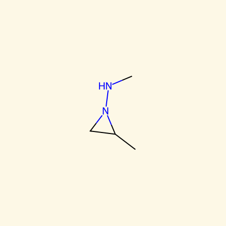 CNN1CC1C